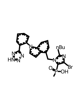 CCCCc1nc(Br)c(P(C)(=O)O)n1Cc1cccc2c1ccn2-c1ccccc1-c1nn[nH]n1